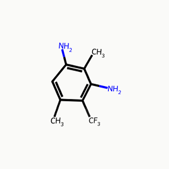 Cc1cc(N)c(C)c(N)c1C(F)(F)F